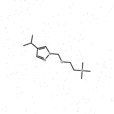 CC(C)c1cnn(COCC[Si](C)(C)C)c1